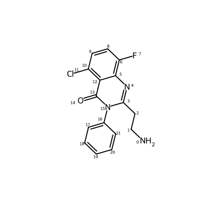 NCCc1nc2c(F)ccc(Cl)c2c(=O)n1-c1ccccc1